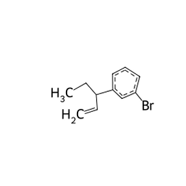 C=CC(CC)c1cccc(Br)c1